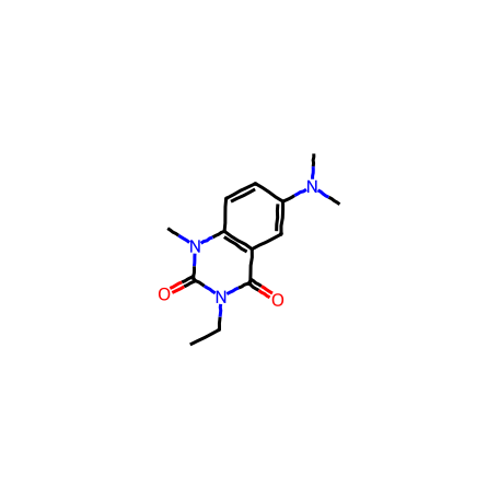 CCn1c(=O)c2cc(N(C)C)ccc2n(C)c1=O